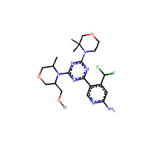 CCOCC1COCC(C)N1c1nc(-c2cnc(N)cc2C(F)F)nc(N2CCOCC2(C)C)n1